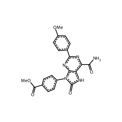 COC(=O)c1ccc(-n2c(=O)[nH]c3c(C(N)=O)nc(-c4ccc(OC)cc4)nc32)cc1